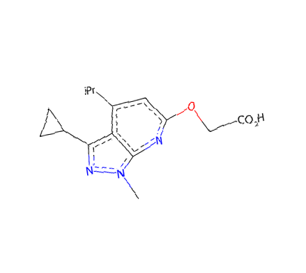 CC(C)c1cc(OCC(=O)O)nc2c1c(C1CC1)nn2C